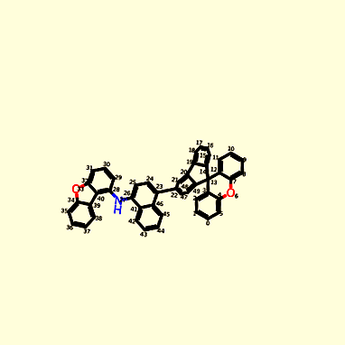 c1ccc2c(c1)Oc1ccccc1C21c2ccccc2-c2cc(-c3ccc(Nc4cccc5oc6ccccc6c45)c4ccccc34)ccc21